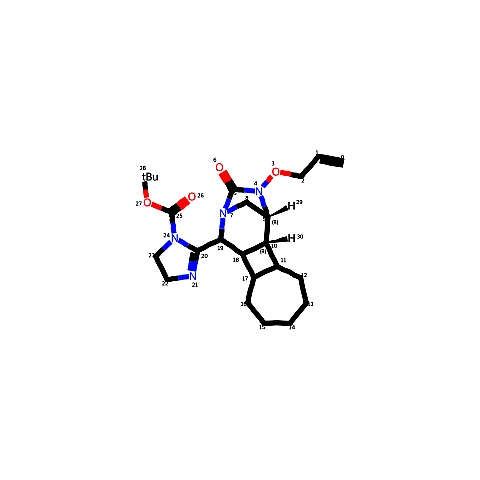 C=CCON1C(=O)N2C[C@H]1[C@@H]1C3CCCCCC3C1C2C1=NCCN1C(=O)OC(C)(C)C